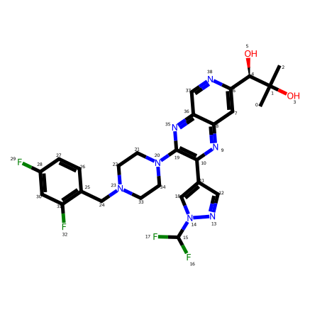 CC(C)(O)[C@H](O)c1cc2nc(-c3cnn(C(F)F)c3)c(N3CCN(Cc4ccc(F)cc4F)CC3)nc2cn1